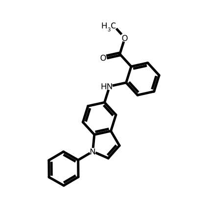 COC(=O)c1ccccc1Nc1ccc2c(ccn2-c2ccccc2)c1